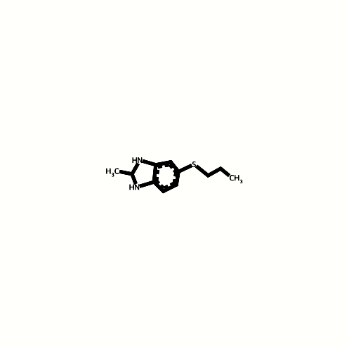 CCCSc1ccc2c(c1)NC(C)N2